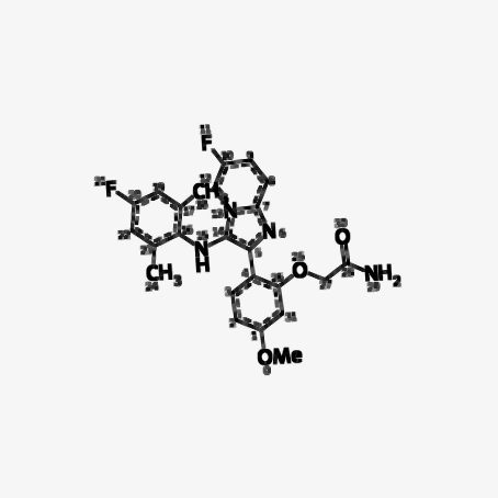 COc1ccc(-c2nc3ccc(F)cn3c2Nc2c(C)cc(F)cc2C)c(OCC(N)=O)c1